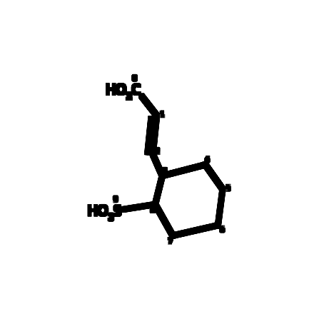 O=C(O)C=CC1CCCCC1S(=O)(=O)O